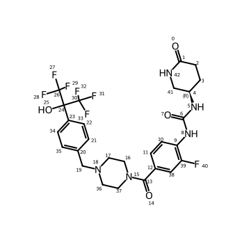 O=C1CC[C@@H](NC(=O)Nc2ccc(C(=O)N3CCN(Cc4ccc(C(O)(C(F)(F)F)C(F)(F)F)cc4)CC3)cc2F)CN1